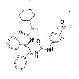 O=C(Nc1ccc([N+](=O)[O-])cc1)N[C@H](c1ccccc1)[C@H](NC(=O)NC1CCCCC1)c1ccccc1